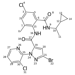 Cc1cc(Cl)cc(C(=O)NC(C)C2CC2)c1NC(=O)c1cc(Br)nn1-c1ncccc1Cl